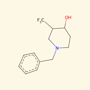 OC1CCN(Cc2ccccc2)CC1C(F)(F)F